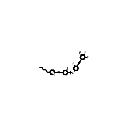 CCCCCc1ccc(C#Cc2ccc(C(F)(F)Oc3ccc(C#Cc4cc(F)c(F)c(F)c4)c(F)c3)c(F)c2)nc1